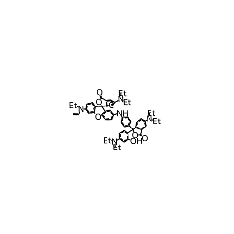 C=CN(CC)c1ccc2c(c1)Oc1ccc(Nc3ccc(C4(c5ccc(N(CC)CC)cc5O)OC(=O)c5cc(N(CC)CC)ccc54)cc3)cc1C21OC(=O)c2cc(N(CC)CC)ccc21